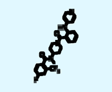 CN(C(=O)c1ccc(F)cc1C(F)(F)F)C1CCN(C(=O)c2ccccc2Nc2ccncc2)CC1